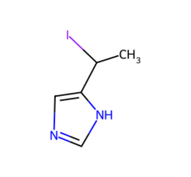 CC(I)c1cnc[nH]1